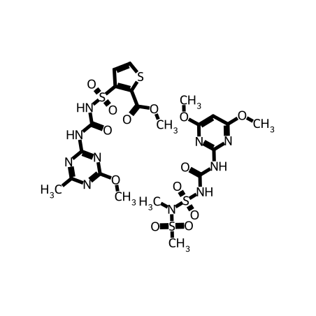 COC(=O)c1sccc1S(=O)(=O)NC(=O)Nc1nc(C)nc(OC)n1.COc1cc(OC)nc(NC(=O)NS(=O)(=O)N(C)S(C)(=O)=O)n1